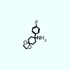 NC1(c2ccc(F)cc2)CCC2(CC1)OCCO2